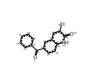 CCc1cc2cc(C(=O)c3ccccc3)ccc2[nH]c1=O